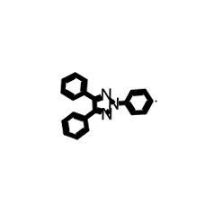 [c]1ccc(-n2nc(-c3ccccc3)c(-c3ccccc3)n2)cc1